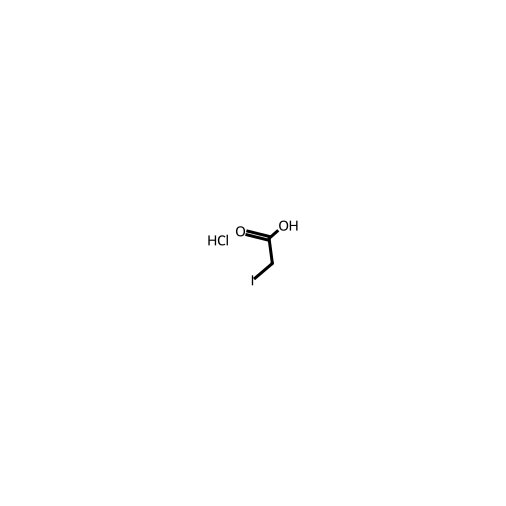 Cl.O=C(O)CI